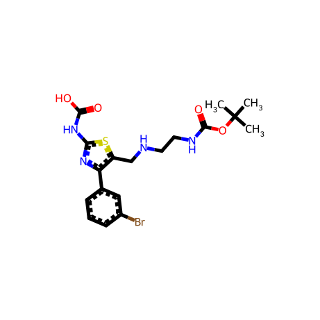 CC(C)(C)OC(=O)NCCNCc1sc(NC(=O)O)nc1-c1cccc(Br)c1